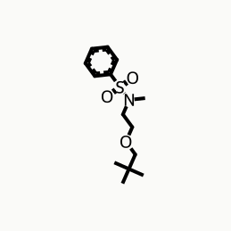 CN(CCOCC(C)(C)C)S(=O)(=O)c1ccccc1